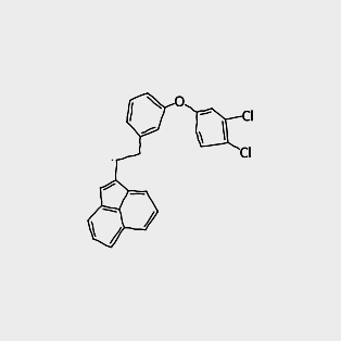 Clc1ccc(Oc2cccc(C[CH]C3=Cc4cccc5cccc3c45)c2)cc1Cl